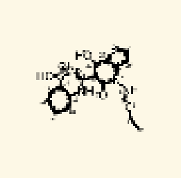 CCCCNn1c(=O)c(C2=NS(O)(O)c3ccccc3N2)c(O)c2sccc21